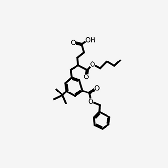 CCCCOC(=O)C(CCC(=O)O)Cc1cc(C(=O)OCc2ccccc2)cc(C(C)(C)C)c1